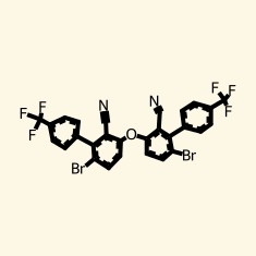 N#Cc1c(Oc2ccc(Br)c(-c3ccc(C(F)(F)F)cc3)c2C#N)ccc(Br)c1-c1ccc(C(F)(F)F)cc1